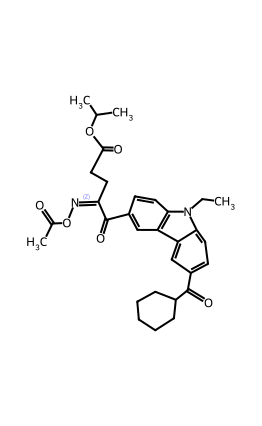 CCn1c2ccc(C(=O)/C(CCC(=O)OC(C)C)=N\OC(C)=O)cc2c2cc(C(=O)C3CCCCC3)ccc21